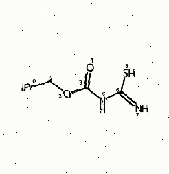 CC(C)COC(=O)NC(=N)S